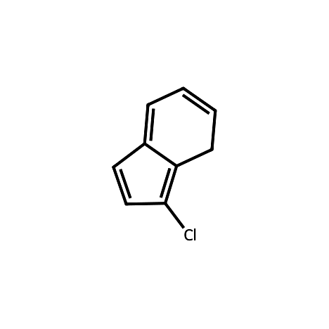 ClC1=C2CC=CC=C2C=C1